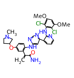 C=C(C(N)=O)c1cc(OC2CCN(C)C2)ccc1Nc1cc(-c2cccnc2Nc2c(Cl)c(OC)cc(OC)c2Cl)ncn1